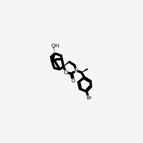 C[C@@H](c1ccc(Br)cc1)N1CC[C@]2(OC1=O)C1CC3CC2C[C@@](O)(C3)C1